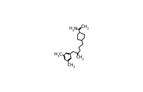 C=C(CCCC1CCC(C(=C)N)CC1)Cc1cc(C)cc(C)c1